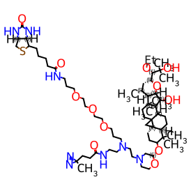 CCO[C@@H]([C@H]1C[C@@H](C)[C@H]2[C@H](O1)[C@H](O)[C@@]1(C)[C@@H]3CC[C@H]4C(C)(C)C(O[C@H]5CN(CCN(CCCOCCOCCOCCCNC(=O)CCCCC6SC[C@@H]7NC(=O)N[C@H]67)CCNC(=O)CCC6(C)N=N6)CCO5)CC[C@@]45CC35CC[C@]21C)C(C)(C)O